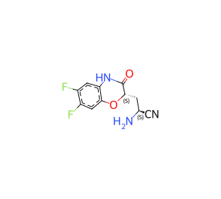 N#C[C@@H](N)C[C@@H]1Oc2cc(F)c(F)cc2NC1=O